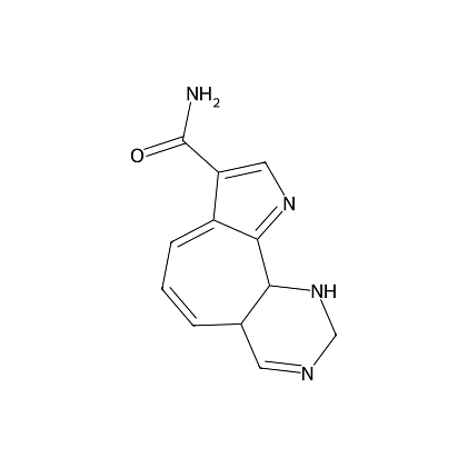 NC(=O)C1=CN=C2C1=CC=CC1C=NCNC21